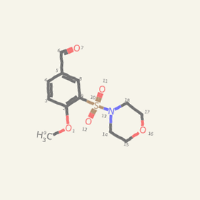 COc1ccc(C=O)cc1S(=O)(=O)N1CCOCC1